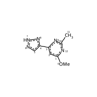 COc1cc(-c2cn[nH]n2)nc(C)n1